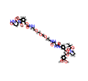 CCC(C)(C)C(=O)C(=O)N1CCCC[C@H]1C(=O)O[C@H](CCc1ccc(OC)c(OC)c1)c1cccc(NC(=O)CCC(=O)NCCCOCCOCCOCCCNC(=O)OCc2cccc3c2C(=O)N([C@H]2CCCC(=O)NC2=O)C3=O)c1